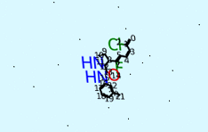 C=C(Cl)/C=C\C=C(/F)C1CCNC1C(=O)Nc1cccc(C)c1